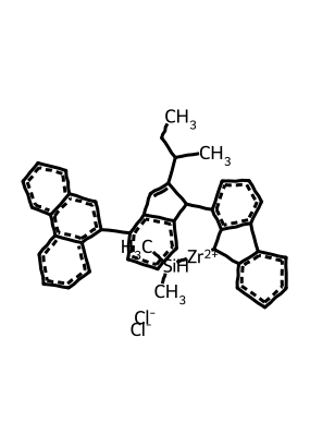 CCC(C)C1=Cc2c(-c3cc4ccccc4c4ccccc34)cccc2C1c1cccc2c1[CH]([Zr+2][SiH](C)C)c1ccccc1-2.[Cl-].[Cl-]